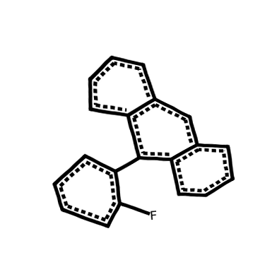 Fc1ccccc1-c1c2ccccc2cc2ccccc12